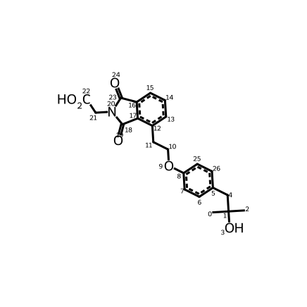 CC(C)(O)Cc1ccc(OCCc2cccc3c2C(=O)N(CC(=O)O)C3=O)cc1